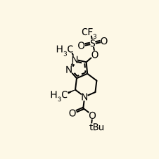 C[C@H]1c2nn(C)c(OS(=O)(=O)C(F)(F)F)c2CCN1C(=O)OC(C)(C)C